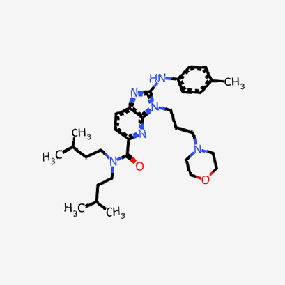 Cc1ccc(Nc2nc3ccc(C(=O)N(CCC(C)C)CCC(C)C)nc3n2CCCN2CCOCC2)cc1